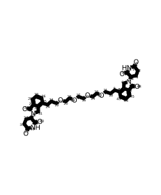 O=C1CCC(N2Cc3c(CCCOCCOCCOCCOCCCc4cccc5c4CN(C4CCC(=O)NC4=O)C5=O)cccc3C2=O)C(=O)N1